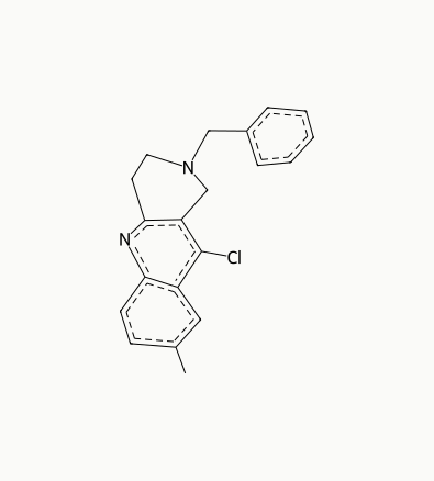 Cc1ccc2nc3c(c(Cl)c2c1)CN(Cc1ccccc1)CC3